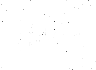 CNCc1ccc(CNC(=O)Cn2c3ccccc3c3cccnc32)cc1F